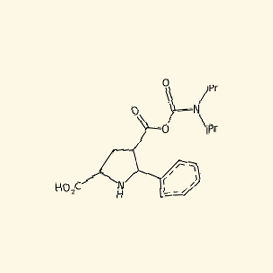 CC(C)N(C(=O)OC(=O)C1CC(C(=O)O)NC1c1ccccc1)C(C)C